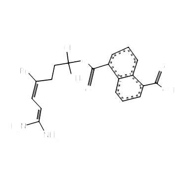 CC(C)(CC/C(Br)=C\C=C(N)N)OC(=O)c1cccc2c(C(=O)O)cccc12